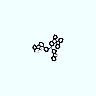 CC1(C)C2=C(C=CCC2c2cccc(N(c3ccc4c(c3)C3(c5ccccc5-c5ccccc53)c3ccccc3-4)c3ccc4sc5ccccc5c4c3)c2)c2ccccc21